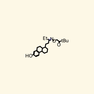 CC/C(CCC1CCCC2c3ccc(O)cc3CCC12)=N/OCC(=O)C(C)(C)C